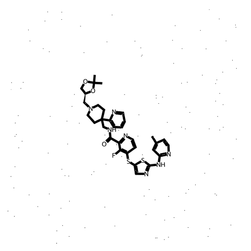 Cc1ccnc(Nc2ncc(Sc3ccnc(C(=O)NCC4(c5ccccn5)CCN(C[C@H]5COC(C)(C)O5)CC4)c3F)s2)c1